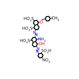 Cc1ccc(COc2cc(S(=O)(=O)O)cc3c(S(=O)(=O)O)c(/N=N/c4cc(S(=O)(=O)O)c5ccc(/N=N/c6ccc([N+](=O)[O-])cc6S(=O)(=O)O)c(O)c5c4N)ccc23)cc1